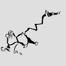 CC[C@@H](O)[C@@]1(C)OC(=O)N(CCCCN=[N+]=[N-])[C@@H]1C(C)C